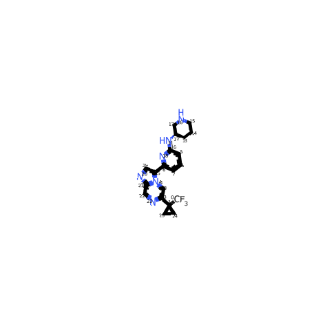 FC(F)(F)C1(c2cn3c(-c4cccc(N[C@@H]5CCCNC5)n4)cnc3cn2)CC1